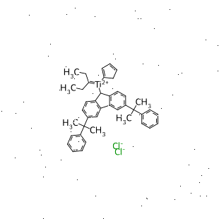 CC[C](CC)=[Ti+2]([C]1=CC=CC1)[CH]1c2ccc(C(C)(C)c3ccccc3)cc2-c2cc(C(C)(C)c3ccccc3)ccc21.[Cl-].[Cl-]